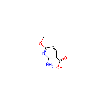 COc1ccc(C(=O)O)c(N)n1